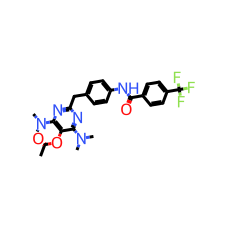 CC(=O)Oc1c(N(C)C)nc(Cc2ccc(NC(=O)c3ccc(C(F)(F)F)cc3)cc2)nc1N(C)C